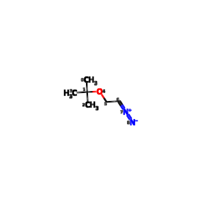 CC(C)(C)OCC=[N+]=[N-]